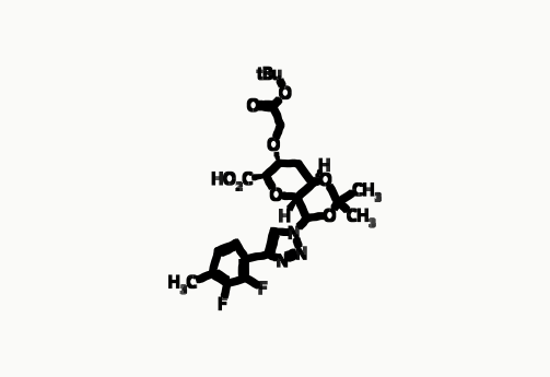 Cc1ccc(-c2cn(C3OC(C)(C)O[C@@H]4C[C@@H](OCC(=O)OC(C)(C)C)[C@H](C(=O)O)O[C@@H]34)nn2)c(F)c1F